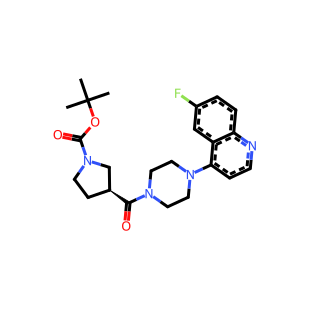 CC(C)(C)OC(=O)N1CC[C@H](C(=O)N2CCN(c3ccnc4ccc(F)cc34)CC2)C1